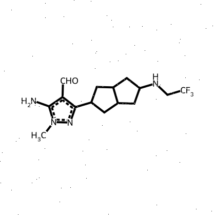 Cn1nc(C2CC3CC(NCC(F)(F)F)CC3C2)c(C=O)c1N